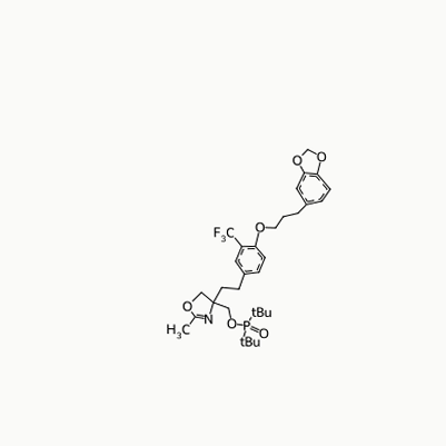 CC1=NC(CCc2ccc(OCCCc3ccc4c(c3)OCO4)c(C(F)(F)F)c2)(COP(=O)(C(C)(C)C)C(C)(C)C)CO1